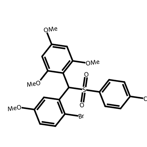 COc1cc(OC)c(C(c2cc(OC)ccc2Br)S(=O)(=O)c2ccc(Cl)cc2)c(OC)c1